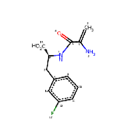 C=C(N)C(=O)N[C@@H](Cc1cccc(F)c1)C(=O)O